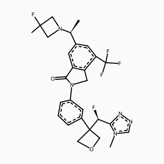 C[C@@H](c1cc2c(c(C(F)(F)F)c1)CN(c1cccc(C3([C@@H](F)c4nncn4C)COC3)c1)C2=O)N1CC(C)(F)C1